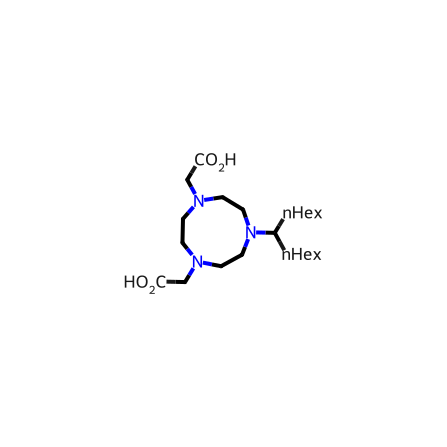 CCCCCCC(CCCCCC)N1CCN(CC(=O)O)CCN(CC(=O)O)CC1